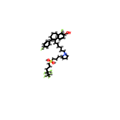 O=S(=O)(CCC[C@@H]1CCCN1CCCCCCC1=C(c2ccc(F)cc2)CCCc2c1ccc(O)c2F)CCCC(F)(F)C(F)(F)F